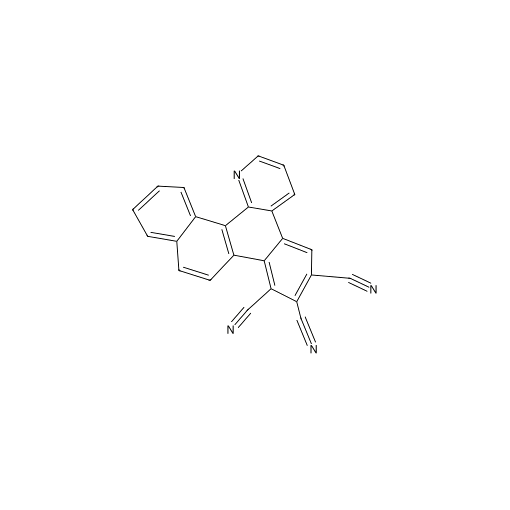 N#Cc1cc2c3cccnc3c3c4ccccc4ccc3c2c(C#N)c1C#N